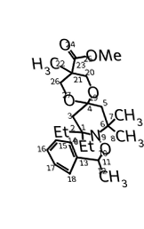 CCC1(CC)CC2(CC(C)(C)N1OC(C)c1ccccc1)OCC(C)(C(=O)OC)CO2